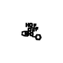 O=C(O)C(F)(F)F.c1ccc(COC2CC3CCC(C2)N3)cc1